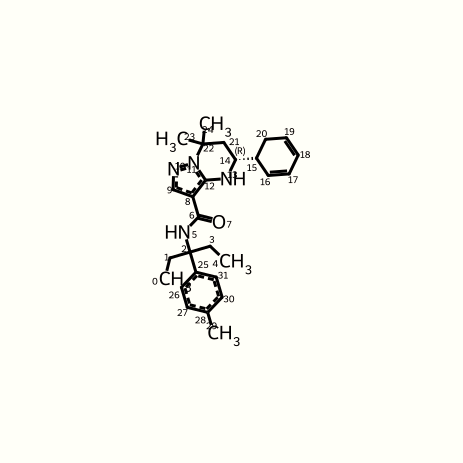 CCC(CC)(NC(=O)c1cnn2c1N[C@@H](C1C=CC=CC1)CC2(C)C)c1ccc(C)cc1